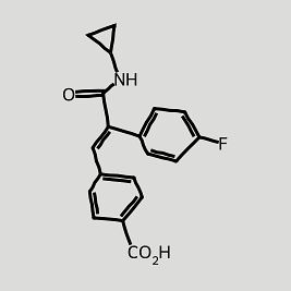 O=C(NC1CC1)C(=Cc1ccc(C(=O)O)cc1)c1ccc(F)cc1